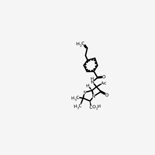 C=CCc1ccc(C(=O)NC2(C(C)=O)C(=O)N3[C@@H](C(=O)O)C(C)(C)S[C@@H]32)cc1